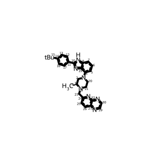 C[C@H]1CN(c2cccc3[nH]c(-c4ccc(C(C)(C)C)cc4)nc23)CCN1Cc1ccc2nccnc2n1